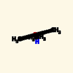 CCCCCCCCCCCCCCCCCC(=O)OCCCCCCCCCCCCCCCC.CNC